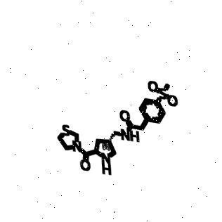 CS(=O)(=O)c1ccc(CC(=O)NC[C@@H]2CNC(C(=O)N3CCSC3)C2)cc1